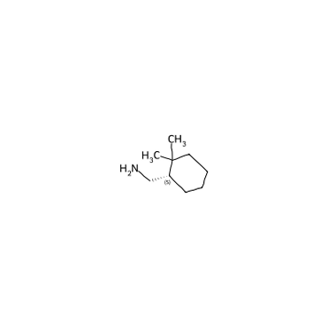 CC1(C)CCCC[C@@H]1CN